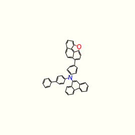 c1ccc(-c2ccc(N(c3ccc(-c4ccc5oc6cccc7ccc4c5c76)cc3)c3cc4ccccc4c4ccccc34)cc2)cc1